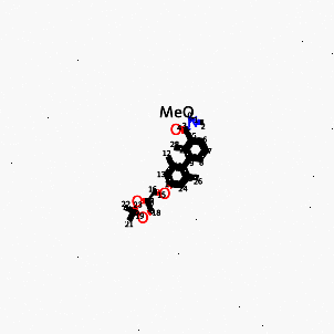 CON(C)C(=O)c1cccc(-c2c(C)cc(OC[C@H]3COC(C)(C)O3)cc2C)c1C